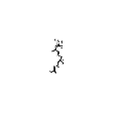 CCNC(=O)OC(C)C=CCC(C)CCC=C(C)C